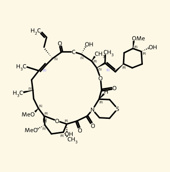 C=CC[C@H]1/C=C(\C)C[C@H](C)C[C@H](OC)[C@H]2O[C@@](O)(C(=O)C(=O)N3CCSC[C@H]3C(=O)O[C@H](/C(C)=C/[C@@H]3CC[C@@H](O)[C@H](OC)C3)[C@H](C)[C@@H](O)CC1=O)[C@H](C)C[C@@H]2OC